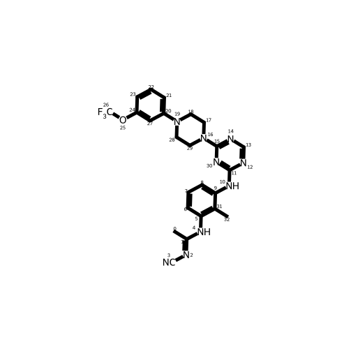 C/C(=N\C#N)Nc1cccc(Nc2ncnc(N3CCN(c4cccc(OC(F)(F)F)c4)CC3)n2)c1C